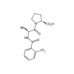 CC(C)(C)[C@H](NC(=O)c1ccccc1C(F)(F)F)C(=O)N1CCC[C@H]1C(=O)O